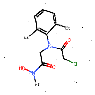 CCc1cccc(CC)c1N(CC(=O)N(O)CC)C(=O)CCl